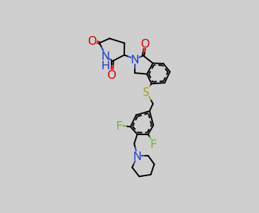 O=C1CCC(N2Cc3c(SCc4cc(F)c(CN5CCCCC5)c(F)c4)cccc3C2=O)C(=O)N1